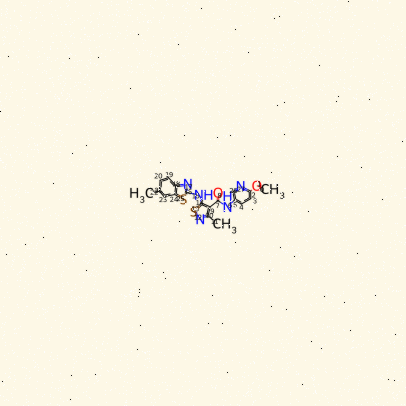 COc1ccc(NC(=O)c2c(C)nsc2Nc2nc3ccc(C)cc3s2)cn1